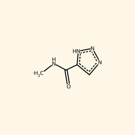 [CH2]NC(=O)c1cnn[nH]1